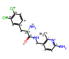 Cc1nc(N)ccc1CNC(=O)[C@@H](N)Cc1ccc(Cl)c(Cl)c1